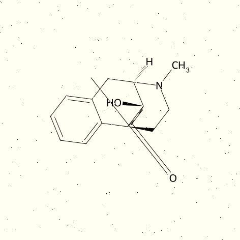 CN1CC[C@]23CC(=O)CC[C@@]2(O)[C@H]1Cc1ccccc13